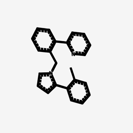 Cc1ccccc1-c1cccn1Cc1ccccc1-c1ccccn1